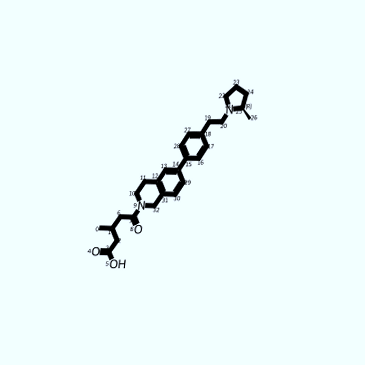 CC(CC(=O)O)CC(=O)N1CCc2cc(-c3ccc(CCN4CCC[C@H]4C)cc3)ccc2C1